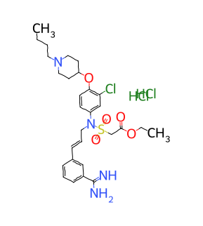 CCCCN1CCC(Oc2ccc(N(C/C=C/c3cccc(C(=N)N)c3)S(=O)(=O)CC(=O)OCC)cc2Cl)CC1.Cl.Cl